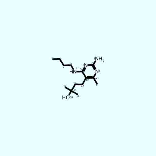 CCCCNc1nc(N)nc(C)c1CCC(C)(C)O